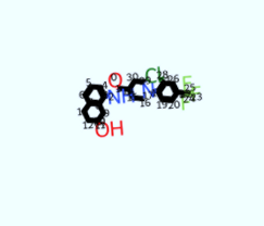 O=C(Nc1cccc2c1C[C@@H](O)CC2)C1CCN(c2ccc(C(F)(F)F)cc2Cl)CC1